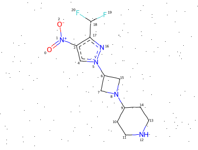 O=[N+]([O-])c1cn(C2CN(C3CCNCC3)C2)nc1C(F)F